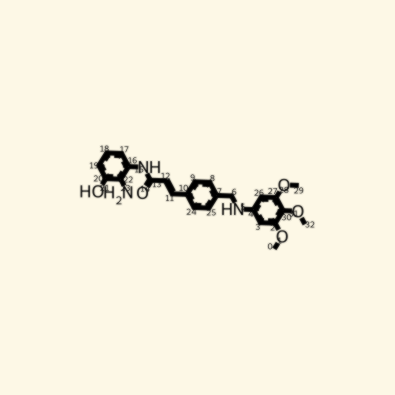 COc1cc(NCc2ccc(C=CC(=O)Nc3cccc(O)c3N)cc2)cc(OC)c1OC